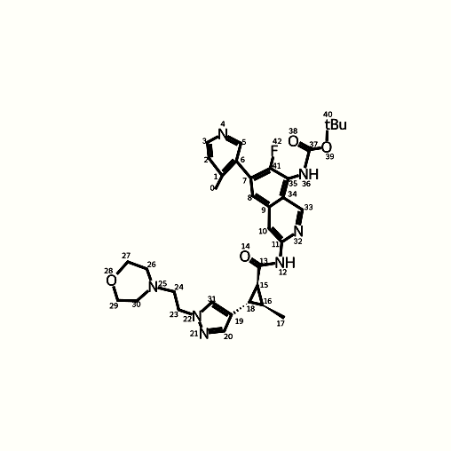 Cc1ccncc1-c1cc2cc(NC(=O)[C@H]3[C@@H](C)[C@@H]3c3cnn(CCN4CCOCC4)c3)ncc2c(NC(=O)OC(C)(C)C)c1F